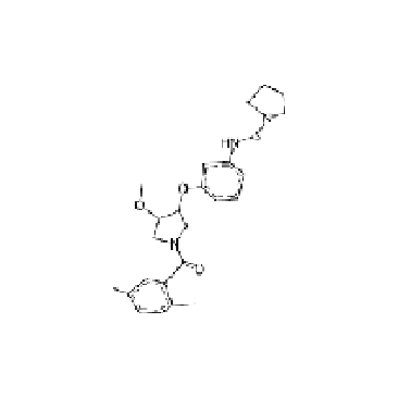 COC1CN(C(=O)c2cc(C)ccc2C)CC1Oc1cccc(NSN2CCCC2)c1